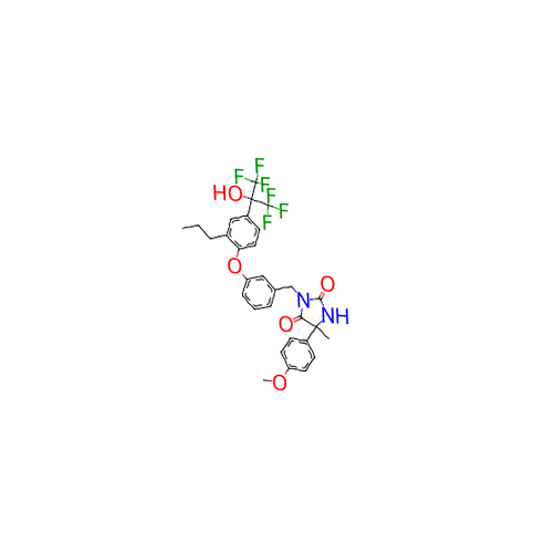 CCCc1cc(C(O)(C(F)(F)F)C(F)(F)F)ccc1Oc1cccc(CN2C(=O)NC(C)(c3ccc(OC)cc3)C2=O)c1